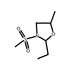 CCC1OC(C)CN1S(C)(=O)=O